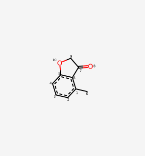 Cc1cccc2c1C(=O)CO2